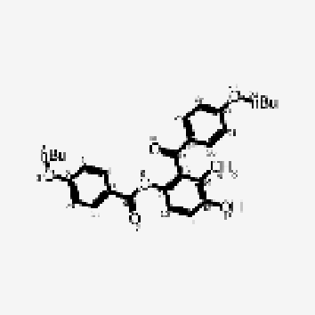 CCCCOc1ccc(C(=O)Oc2ccc(O)c(C)c2C(=O)c2ccc(OCCCC)cc2)cc1